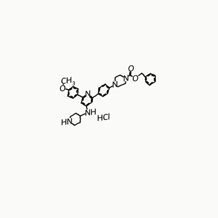 COc1ccc(-c2cc(NC3CCNCC3)cc(-c3ccc(N4CCN(C(=O)OCc5ccccc5)CC4)cc3)n2)cc1.Cl